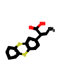 CC=C(C(=O)O)c1ccc2c(c1)Sc1ccccc1S2